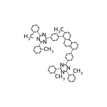 Cc1ccccc1-c1nc(-c2ccc(-c3cccc4c3ccc3c(-c5ccc(-c6nc(-c7ccccc7C)nc(-c7ccccc7C)n6)cc5)c(C)ccc34)cc2)nc(-c2ccccc2C)n1